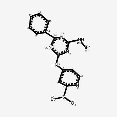 CC[S+]([O-])c1cc(Nc2nc(NC(C)C)nc(-c3ccccc3)n2)ccn1